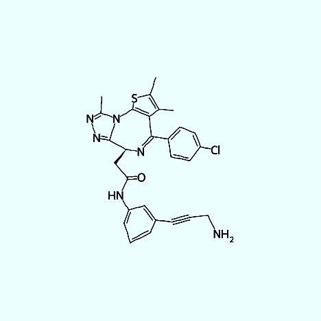 Cc1sc2c(c1C)C(c1ccc(Cl)cc1)=N[C@@H](CC(=O)Nc1cccc(C#CCN)c1)c1nnc(C)n1-2